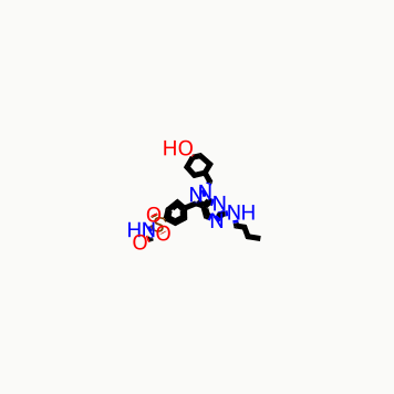 CCCCNc1ncc2c(-c3ccc(S(=O)(=O)NC=O)cc3)nn(CC3CCC(O)CC3)c2n1